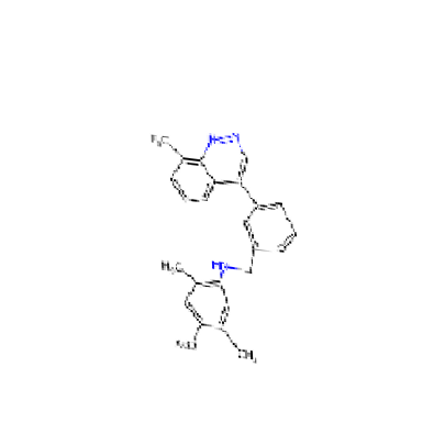 CC(=O)Oc1cc(C)c(NCc2cccc(-c3cnnc4c(C(F)(F)F)cccc34)c2)cc1C